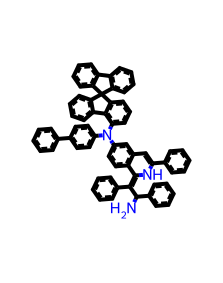 NC(/C(=C1\NC(c2ccccc2)=Cc2cc(N(c3ccc(-c4ccccc4)cc3)c3cccc4c3-c3ccccc3C43c4ccccc4-c4ccccc43)ccc21)c1ccccc1)c1ccccc1